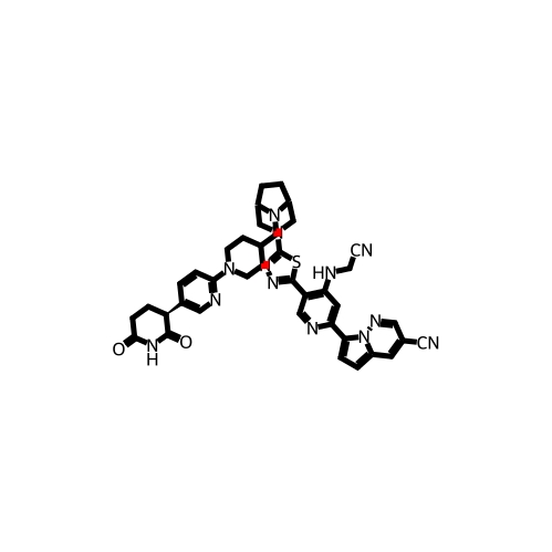 N#CCNc1cc(-c2ccc3cc(C#N)cnn23)ncc1-c1nnc(N2CC3CCC(C2)N3CC2CCN(c3ccc([C@@H]4CCC(=O)NC4=O)cn3)CC2)s1